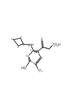 CCOC(=O)CC(=O)c1cc(C(F)(F)F)c(O)nc1NC1CCC1